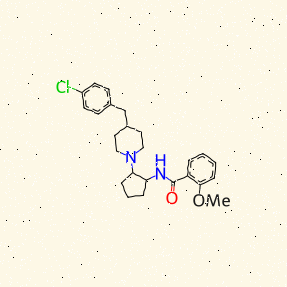 COc1ccccc1C(=O)NC1CCCC1N1CCC(Cc2ccc(Cl)cc2)CC1